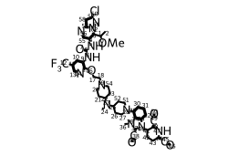 COC(C)c1c(NC(=O)Nc2cc(C(F)(F)F)cnc2OCCN2CCC(N(C)C3CCN(c4cccc5c4N(C)C(=C=O)N5C4CCC(=C=O)NC4=C=O)CC3)CC2)cnc2cc(Cl)nn12